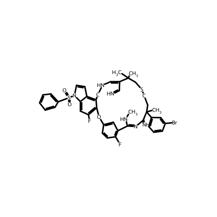 CN/C1=N\C(=N)C(C)(c2cccc(Br)c2)CCSCC(C)(C)/C(C=N)=C/NCc2c(c(F)cc3c2ccn3S(=O)(=O)c2ccccc2)Oc2ccc(F)c1c2